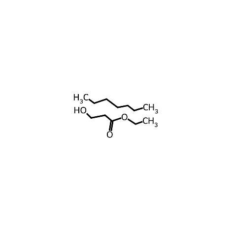 CCCCCCC.CCOC(=O)CCO